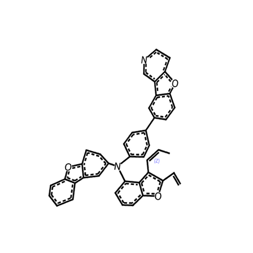 C=Cc1oc2cccc(N(c3ccc(-c4ccc5oc6ccncc6c5c4)cc3)c3ccc4oc5ccccc5c4c3)c2c1/C=C\C